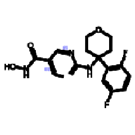 C=C(/N=C\C(=C/C)C(=O)NO)NC1(c2cc(F)ccc2F)CCOCC1